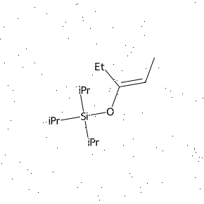 C/C=C(\CC)O[Si](C(C)C)(C(C)C)C(C)C